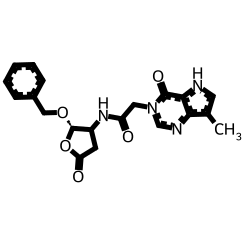 Cc1c[nH]c2c(=O)n(CC(=O)NC3CC(=O)O[C@@H]3OCc3ccccc3)cnc12